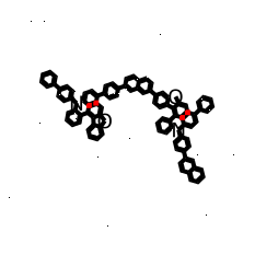 c1ccc(-c2ccc(N(c3ccc(-c4ccc(-c5ccc6ccc(-c7ccc8c(c7)oc7cccc(-c9ccccc9N(c9ccc(-c%10ccccc%10)cc9)c9ccc(-c%10ccc%11ccccc%11c%10)cc9)c78)cc6c5)cc4)cc3)c3ccccc3-c3cccc4oc5ccccc5c34)cc2)cc1